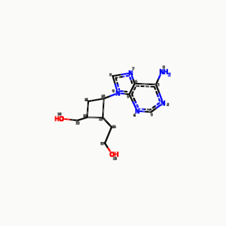 Nc1ncnc2c1ncn2C1CC(CO)C1CCO